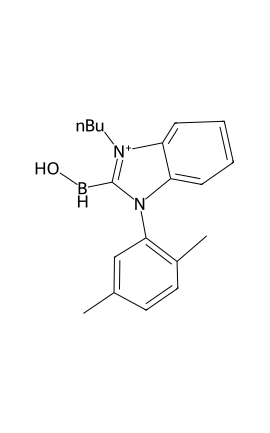 CCCC[n+]1c(BO)n(-c2cc(C)ccc2C)c2ccccc21